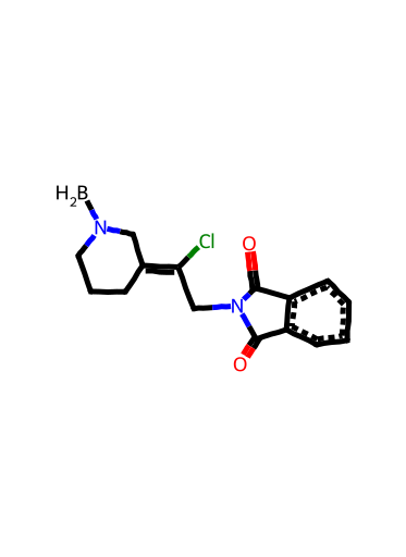 BN1CCC/C(=C(/Cl)CN2C(=O)c3ccccc3C2=O)C1